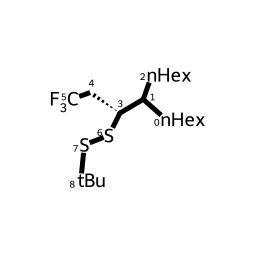 CCCCCCC(CCCCCC)[C@@H](CC(F)(F)F)SSC(C)(C)C